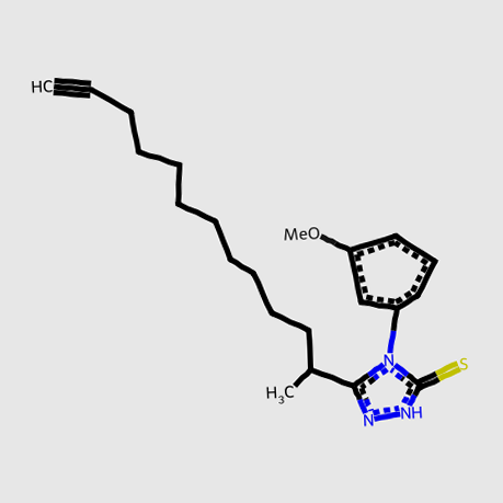 C#CCCCCCCCCCC(C)c1n[nH]c(=S)n1-c1cccc(OC)c1